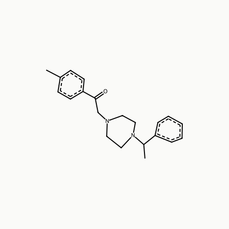 Cc1ccc(C(=O)CN2CCN(C(C)c3ccccc3)CC2)cc1